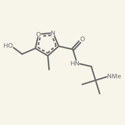 CNC(C)(C)CNC(=O)c1noc(CO)c1C